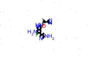 Cc1c(N)cncc1-c1cc2cc(NC(=O)[C@@H]3[C@@H](C)[C@H]3c3cnn(C)c3)ncc2c(N)c1F